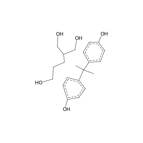 CC(C)(c1ccc(O)cc1)c1ccc(O)cc1.OCCCC(CO)CO